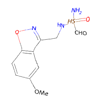 COc1ccc2onc(CN[SH](N)(=O)C=O)c2c1